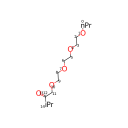 CCCOCCOCCOCCOCC(=O)C(C)C